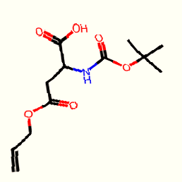 C=CCOC(=O)CC(NC(=O)OC(C)(C)C)C(=O)O